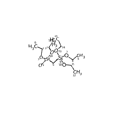 CCO[Si](Cl)(C[Si](OCC)(OCC)OCC)OCC